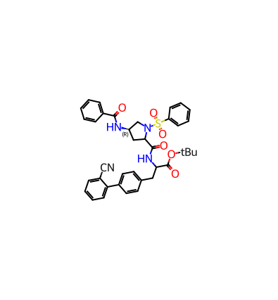 CC(C)(C)OC(=O)C(Cc1ccc(-c2ccccc2C#N)cc1)NC(=O)C1C[C@@H](NC(=O)c2ccccc2)CN1S(=O)(=O)c1ccccc1